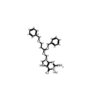 CC(=O)n1c(N)nc2c(c1=O)NCN2COC(CCOCc1ccccc1)OCc1ccccc1